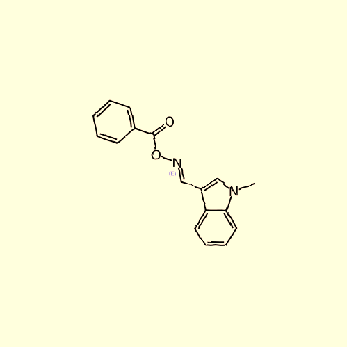 Cn1cc(/C=N/OC(=O)c2ccccc2)c2ccccc21